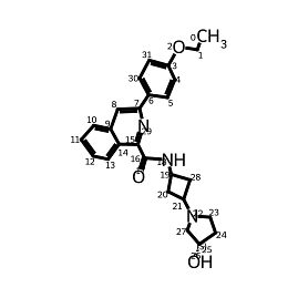 CCOc1ccc(-c2cc3ccccc3c(C(=O)NC3CC(N4CC[C@H](O)C4)C3)n2)cc1